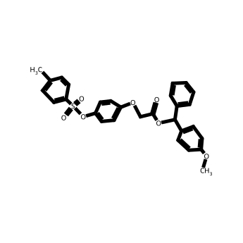 COc1ccc(C(OC(=O)COc2ccc(OS(=O)(=O)c3ccc(C)cc3)cc2)c2ccccc2)cc1